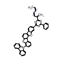 C=C(/C=C\C=C/C)c1nc(-c2ccccc2)nc(-c2ccc3c(c2)oc2c3ccc3sc4c(-n5c6ccccc6c6ccccc65)cccc4c32)n1